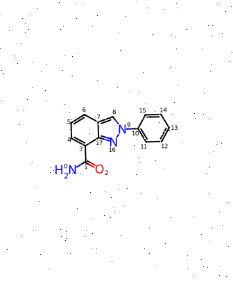 NC(=O)c1cccc2cn(-c3cc[c]cc3)nc12